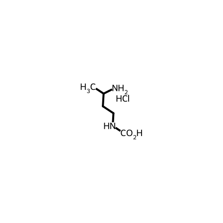 CC(N)CCNC(=O)O.Cl